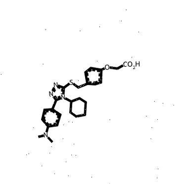 CN(C)c1ccc(-c2nnc(SCc3ccc(OCC(=O)O)cc3)n2C2CCCCC2)cc1